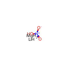 O=[N+]([O-])O.[LiH].[MgH2]